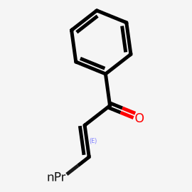 CCC/C=C/C(=O)c1ccccc1